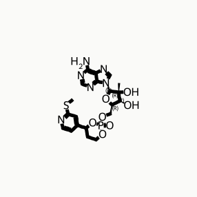 CSc1cc(C2CCOP(=O)(OC[C@H]3O[C@@H](n4cnc5c(N)ncnc54)[C@](C)(O)[C@@H]3O)O2)ccn1